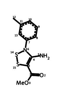 COC(=O)C1=C(N)N(c2cccc(C)c2)SS1